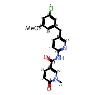 COc1cc(Cl)cc(Cc2ccc(NC(=O)c3ccc(=O)n(C)c3)nc2)c1